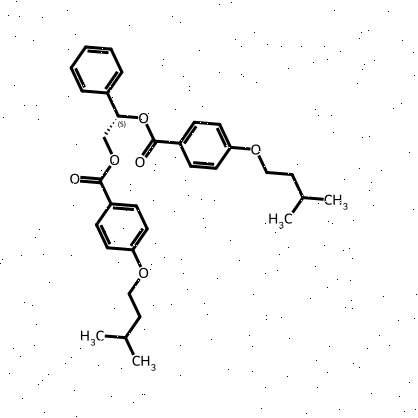 CC(C)CCOc1ccc(C(=O)OC[C@@H](OC(=O)c2ccc(OCCC(C)C)cc2)c2ccccc2)cc1